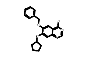 Clc1ncnc2cc(OC3CCCC3)c(OCc3ccccc3)cc12